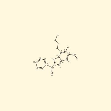 CCCCc1c(C)c(OC)nc2nc(C(=O)c3ccccc3)cn12